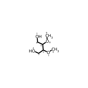 COC(CO)C(CO)OC